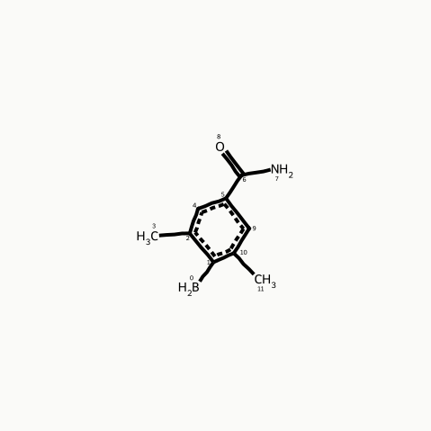 Bc1c(C)cc(C(N)=O)cc1C